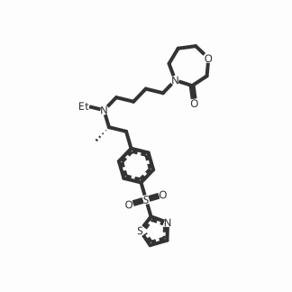 CCN(CCCCN1CCCOCC1=O)[C@@H](C)Cc1ccc(S(=O)(=O)c2nccs2)cc1